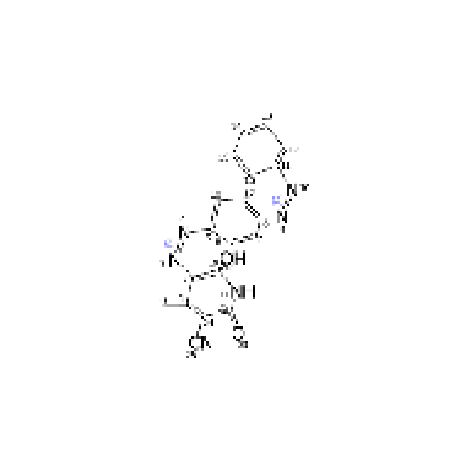 Cc1c(/N=N\c2ccc(/N=N\c3ccccc3)cc2)c(O)[nH]c(=O)c1C#N